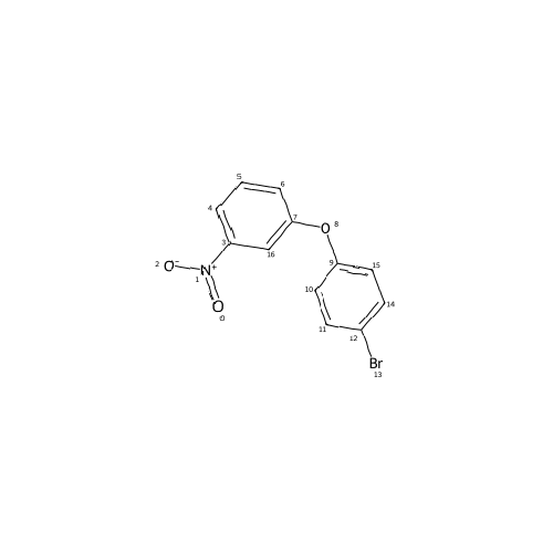 O=[N+]([O-])c1cccc(Oc2ccc(Br)cc2)c1